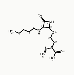 CCCCCNC1C(=O)NC1OCCC(N=N)C(=O)O